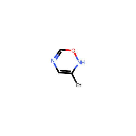 CCC1=CN=CON1